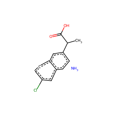 CC(C(=O)O)c1ccc2cc(Cl)ccc2c1.N